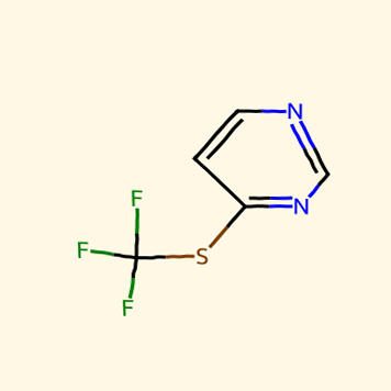 FC(F)(F)Sc1ccncn1